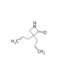 C=CCC1(CC=C)CNC1=O